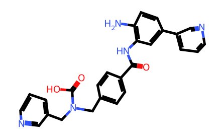 Nc1ccc(-c2cccnc2)cc1NC(=O)c1ccc(CN(Cc2cccnc2)C(=O)O)cc1